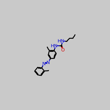 CCCCNC(=O)Nc1ccc(N=Nc2ccccc2C)cc1C